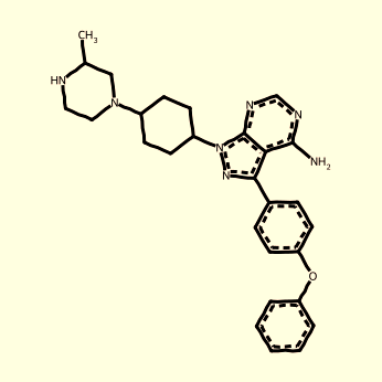 CC1CN(C2CCC(n3nc(-c4ccc(Oc5ccccc5)cc4)c4c(N)ncnc43)CC2)CCN1